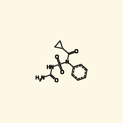 NC(=O)NS(=O)(=O)N(C(=O)C1CC1)c1ccccc1